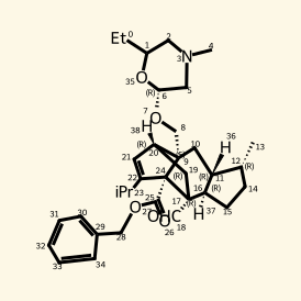 CCC1CN(C)C[C@H](OC[C@@]23C[C@@H]4[C@H](C)CC[C@H]4[C@]4(C=O)C[C@@H]2C=C(C(C)C)[C@@]34C(=O)OCc2ccccc2)O1